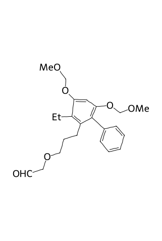 CCc1c(OCOC)cc(OCOC)c(-c2ccccc2)c1CCCOCC=O